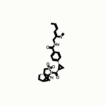 C=N/C(=C\C=C/C)CNC(=O)c1ccc([C@@H]2C[C@H]2C(=O)N2[C@H]3CC4CC[C@@]3(CS2(=O)=O)C4(C)C)cc1